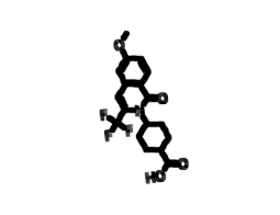 COc1ccc2c(=O)n(C3CCC(C(=O)O)CC3)c(C(F)(F)F)cc2c1